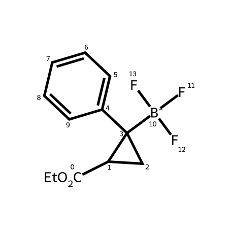 CCOC(=O)C1CC1(c1ccccc1)[B-](F)(F)F